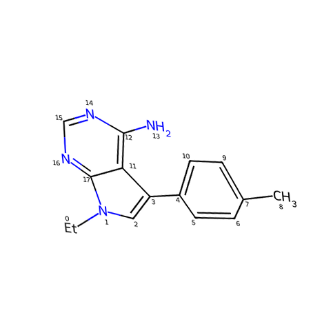 CCn1cc(-c2ccc(C)cc2)c2c(N)ncnc21